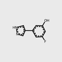 Oc1cc(F)cc(-c2cn[nH]c2)c1